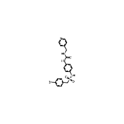 O=C(NCc1ccncc1)Nc1ccc(NS(=O)(=O)Cc2ccc(Br)cc2)cc1